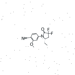 CC[C@H]1CC(F)(F)C(=O)N1c1ccc(C#N)c(OC)c1